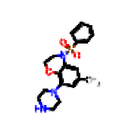 Cc1cc(N2CCNCC2)c2c(c1)N(S(=O)(=O)c1ccccc1)CCO2